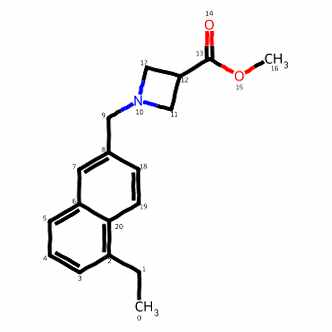 CCc1cccc2cc(CN3CC(C(=O)OC)C3)ccc12